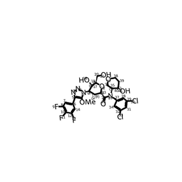 CO[C@@H]1[C@@H](n2cc(-c3cc(F)c(F)c(F)c3)nn2)[C@@H](O)[C@@H](CO)O[C@H]1C(=O)N(c1cc(Cl)cc(Cl)c1)[C@H]1COCC[C@@H]1O